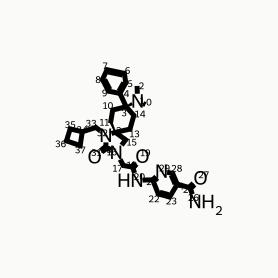 CN(C)[C@]1(c2ccccc2)CC[C@@]2(CC1)CN(CC(=O)Nc1ccc(C(N)=O)cn1)C(=O)N2CC1CCC1